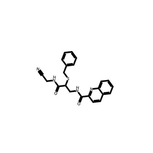 N#CCNC(=O)C(CNC(=O)c1ccc2ccccc2n1)SCc1ccccc1